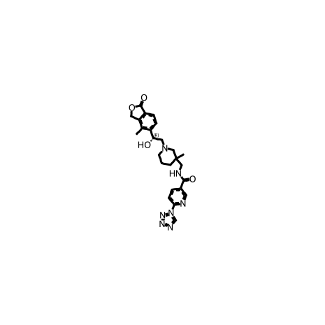 Cc1c([C@@H](O)CN2CCCC(C)(CNC(=O)c3ccc(-n4cnnn4)nc3)C2)ccc2c1COC2=O